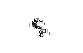 Cc1cc(Nc2ncc3c(n2)CCN(Cc2ccc4c(c2C)COC4=O)C3)ncc1C#N